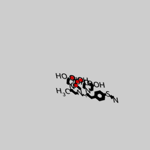 CC(CN(CC(=O)O)C[C@@H](Cc1ccc(SC#N)cc1)N(CC(=O)O)CC(=O)O)N(CC(=O)O)CC(=O)O